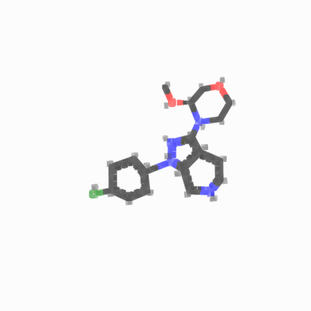 CO[C@@H]1COCCN1c1nn(-c2ccc(Cl)cc2)c2cnccc12